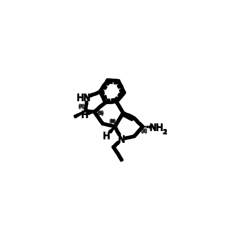 CCN1C[C@@H](N)C=C2c3cccc4c3[C@H](C[C@H]21)[C@@H](C)N4